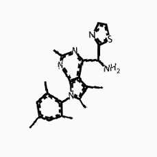 Cc1cc(C)c(-n2c(C)c(C)c3c(C(N)c4nccs4)nc(C)nc32)c(C)c1